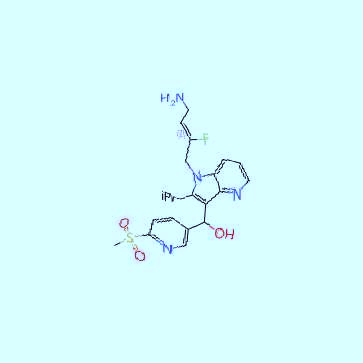 CC(C)c1c(C(O)c2ccc(S(C)(=O)=O)nc2)c2ncccc2n1C/C(F)=C/CN